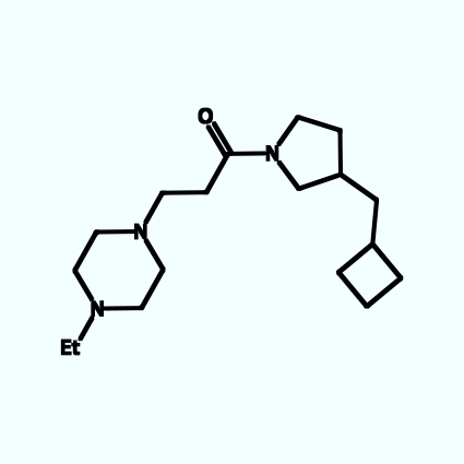 CCN1CCN(CCC(=O)N2CCC(CC3CCC3)C2)CC1